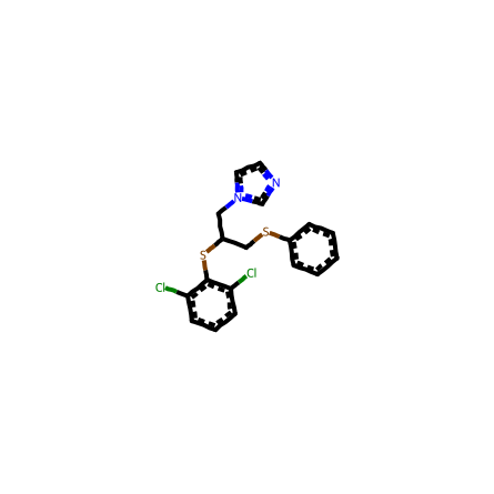 Clc1cccc(Cl)c1SC(CSc1ccccc1)Cn1ccnc1